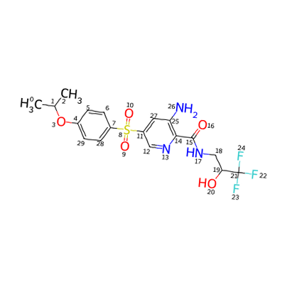 CC(C)Oc1ccc(S(=O)(=O)c2cnc(C(=O)NCC(O)C(F)(F)F)c(N)c2)cc1